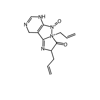 C=CCC1N=C2C3=C(NC=NC3)[N+](=O)[N+]2(CC=C)C1=O